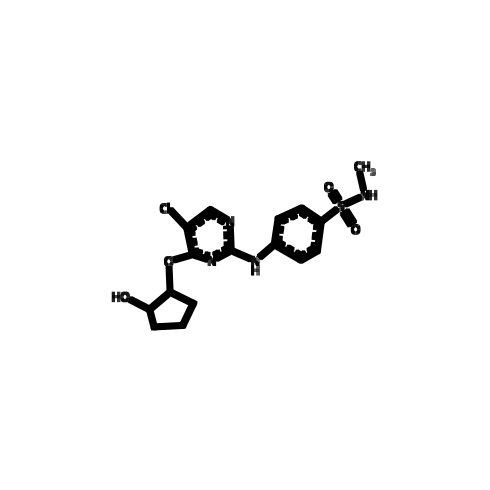 CNS(=O)(=O)c1ccc(Nc2ncc(Cl)c(OC3CCCC3O)n2)cc1